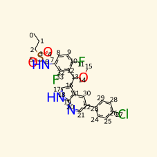 CCCS(=O)(=O)Nc1ccc(F)c(C(OC)c2c[nH]c3ncc(-c4ccc(Cl)cc4)cc23)c1F